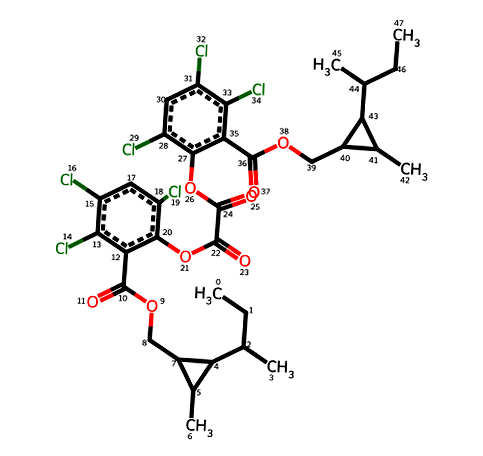 CCC(C)C1C(C)C1COC(=O)c1c(Cl)c(Cl)cc(Cl)c1OC(=O)C(=O)Oc1c(Cl)cc(Cl)c(Cl)c1C(=O)OCC1C(C)C1C(C)CC